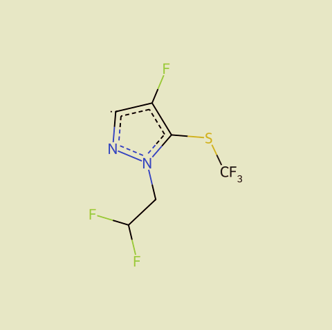 Fc1[c]nn(CC(F)F)c1SC(F)(F)F